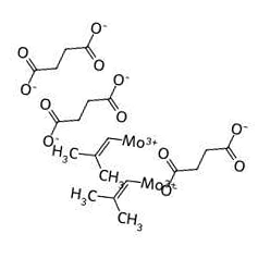 CC(C)=[CH][Mo+3].CC(C)=[CH][Mo+3].O=C([O-])CCC(=O)[O-].O=C([O-])CCC(=O)[O-].O=C([O-])CCC(=O)[O-]